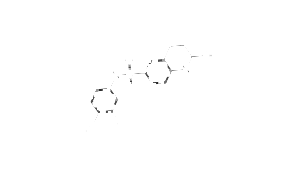 Cc1ccc(NS(=O)(=O)c2ccc3c(c2)CCC(O)N3)cc1C